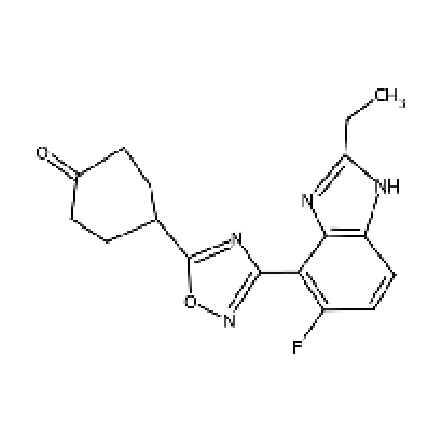 CCc1nc2c(-c3noc(C4CCC(=O)CC4)n3)c(F)ccc2[nH]1